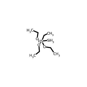 CCO[SH]([SiH3])(CC)(OCC)OCC